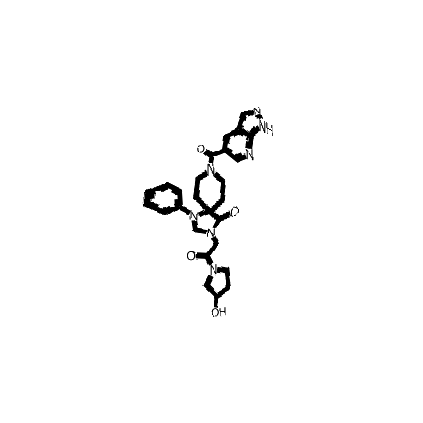 O=C(CN1CN(c2ccccc2)C2(CCN(C(=O)c3cnc4[nH]ncc4c3)CC2)C1=O)N1CCC(O)C1